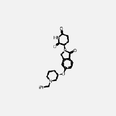 CC(C)CN1CCC[C@@H](Oc2ccc3c(c2)CN(C2CCC(=O)NC2=O)C3=O)C1